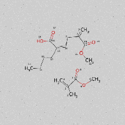 C=C(C)C(=O)OC.C=C(CC=C(CCCC)C(=O)O)C(=O)OC